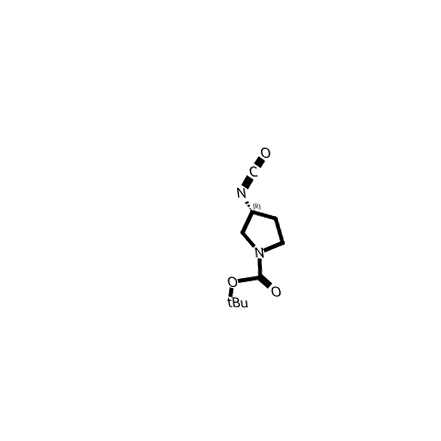 CC(C)(C)OC(=O)N1CC[C@@H](N=C=O)C1